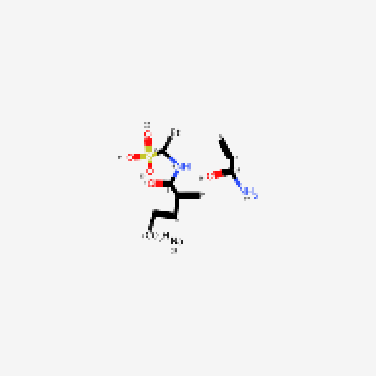 C=C(C=CC(=O)O)C(=O)NC(CC)S(=O)(=O)[O-].C=CC(N)=O.[Na+]